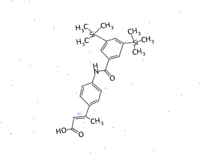 C/C(=C\C(=O)O)c1ccc(NC(=O)c2cc([Si](C)(C)C)cc([Si](C)(C)C)c2)cc1